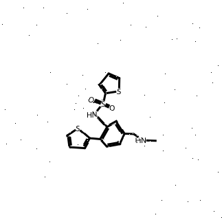 CNCc1ccc(-c2cccs2)c(NS(=O)(=O)c2cccs2)c1